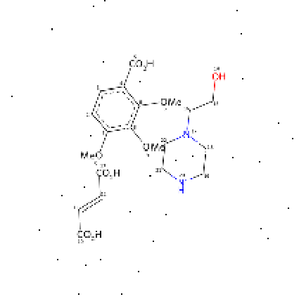 COc1ccc(C(=O)O)c(OC)c1OC.O=C(O)C=CC(=O)O.OCCN1CCNCC1